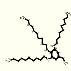 CCCCCCCCCCOc1cc(CO)cc(OCCCCCCCCCC)c1OCCCCCCCCCC